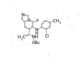 C=C(NCCCC)c1cc2cncn2c(F)c1Nc1ccc(C)cc1Cl